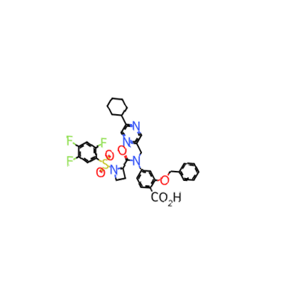 O=C(O)c1ccc(N(Cc2cnc(C3CCCCC3)cn2)C(=O)C2CCN2S(=O)(=O)c2cc(F)c(F)cc2F)cc1OCc1ccccc1